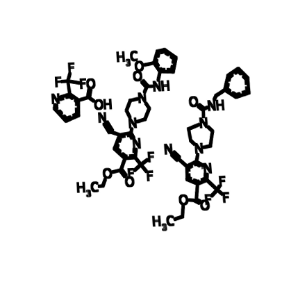 CCOC(=O)c1cc(C#N)c(N2CCN(C(=O)NCc3ccccc3)CC2)nc1C(F)(F)F.CCOC(=O)c1cc(C#N)c(N2CCN(C(=O)Nc3ccccc3OC)CC2)nc1C(F)(F)F.O=C(O)c1cccnc1C(F)(F)F